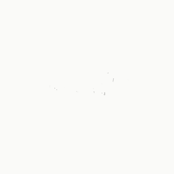 Cc1ccc2c3c([nH]c2c1)CCN(CCN(C)C)CC3